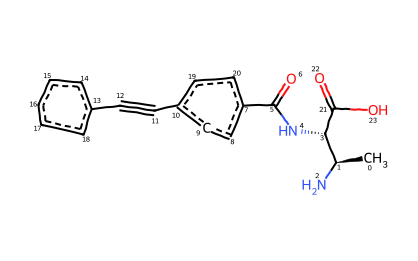 C[C@@H](N)[C@H](NC(=O)c1ccc(C#Cc2ccccc2)cc1)C(=O)O